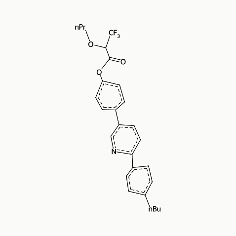 CCCCc1ccc(-c2ccc(-c3ccc(OC(=O)C(OCCC)C(F)(F)F)cc3)cn2)cc1